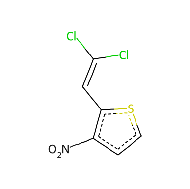 O=[N+]([O-])c1ccsc1C=C(Cl)Cl